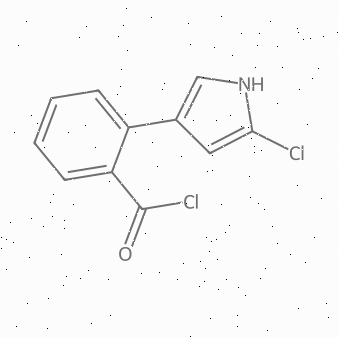 O=C(Cl)c1ccccc1-c1c[nH]c(Cl)c1